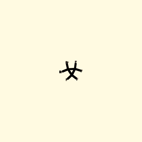 FC1(F)C(F)(F)C1(Br)Br